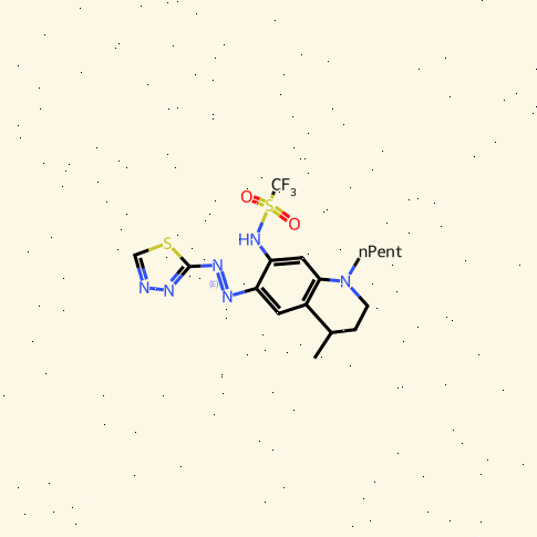 CCCCCN1CCC(C)c2cc(/N=N/c3nncs3)c(NS(=O)(=O)C(F)(F)F)cc21